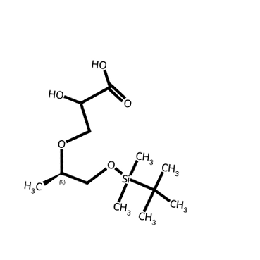 C[C@H](CO[Si](C)(C)C(C)(C)C)OCC(O)C(=O)O